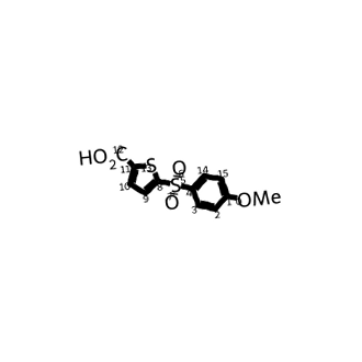 COc1ccc(S(=O)(=O)c2ccc(C(=O)O)s2)cc1